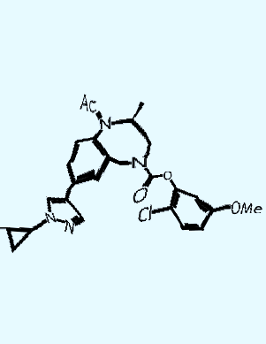 COc1ccc(Cl)c(OC(=O)N2C[C@H](C)N(C(C)=O)c3ccc(-c4cnn(C5CC5)c4)cc32)c1